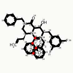 C=CC[C@H]1CN(Cc2ccccc2)C(=O)C([C@@H](O)[C@@H](Cc2cc(F)cc(F)c2)N(Cc2ccccc2)Cc2ccccc2)N1C(=O)OC(C)(C)C